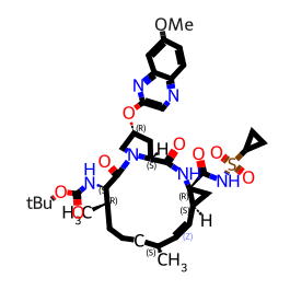 COc1ccc2ncc(O[C@@H]3C[C@H]4C(=O)N[C@]5(C(=O)NS(=O)(=O)C6CC6)C[C@H]5/C=C\[C@@H](C)CCC[C@@H](C)[C@H](NC(=O)OC(C)(C)C)C(=O)N4C3)nc2c1